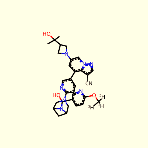 [2H]C([2H])([2H])Oc1ccc(C(O)N2C3CC2CN(c2ccc(-c4cc(N5CC(C(C)(C)O)C5)cn5ncc(C#N)c45)cn2)C3)cn1